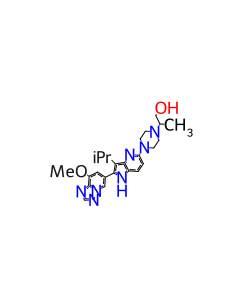 COc1cc(-c2[nH]c3ccc(N4CCN(C(C)CO)CC4)nc3c2C(C)C)cn2ncnc12